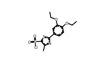 CCOc1ccc(-c2nc(C)c(S(=O)(=O)Cl)s2)cc1OCC